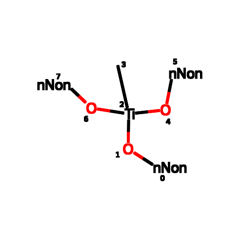 CCCCCCCCC[O][Ti]([CH3])([O]CCCCCCCCC)[O]CCCCCCCCC